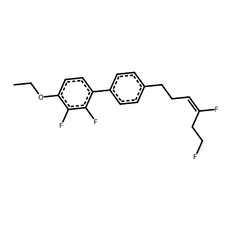 CCOc1ccc(-c2ccc(CC/C=C(/F)CCF)cc2)c(F)c1F